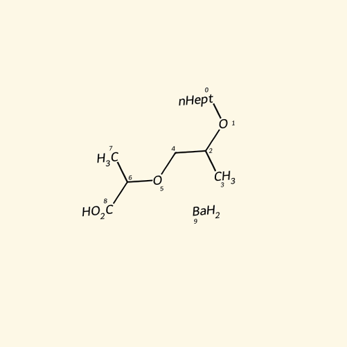 CCCCCCCOC(C)COC(C)C(=O)O.[BaH2]